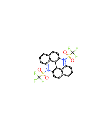 O=S(=O)(Nc1ccc2ccccc2c1-c1c(NS(=O)(=O)C(F)(F)F)ccc2ccccc12)C(F)(F)F